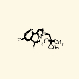 CC(C)(O)Cn1ccc(-c2ncc(Cl)cc2C(F)F)n1